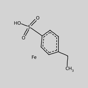 CCc1ccc(S(=O)(=O)O)cc1.[Fe]